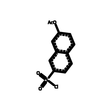 CC(=O)Oc1ccc2ccc(S(=O)(=O)Cl)cc2c1